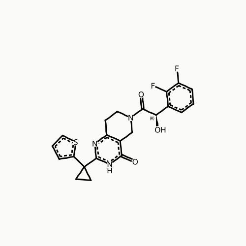 O=C([C@H](O)c1cccc(F)c1F)N1CCc2nc(C3(c4cccs4)CC3)[nH]c(=O)c2C1